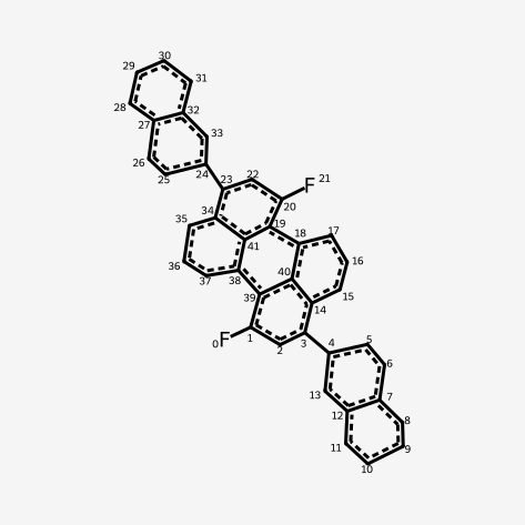 Fc1cc(-c2ccc3ccccc3c2)c2cccc3c4c(F)cc(-c5ccc6ccccc6c5)c5cccc(c1c23)c54